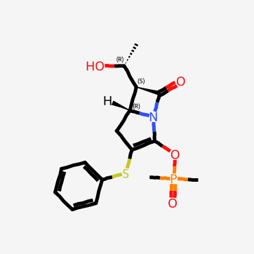 C[C@@H](O)[C@H]1C(=O)N2C(OP(C)(C)=O)=C(Sc3ccccc3)C[C@H]12